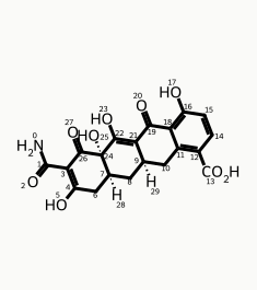 NC(=O)C1=C(O)C[C@@H]2C[C@@H]3Cc4c(C(=O)O)ccc(O)c4C(=O)C3=C(O)[C@]2(O)C1=O